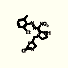 CCc1cccc(C)c1/N=N/C(=C1/NCCN1CC1CN=C(Cl)S1)[N+](=O)[O-]